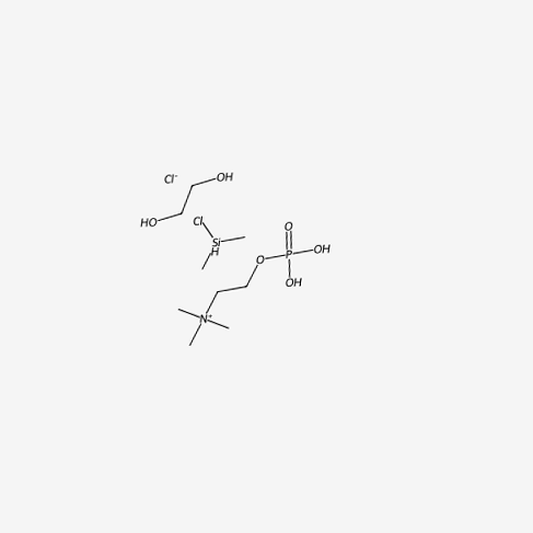 C[N+](C)(C)CCOP(=O)(O)O.C[SiH](C)Cl.OCCO.[Cl-]